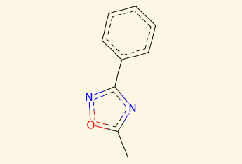 Cc1nc(-c2ccccc2)no1